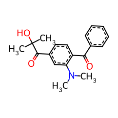 CN(C)c1cc(C(=O)C(C)(C)O)ccc1C(=O)c1ccccc1